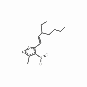 CCCCC(/C=C/c1onc(C)c1[N+](=O)[O-])CC